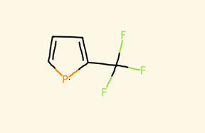 FC(F)(F)C1=CC=C[P]1